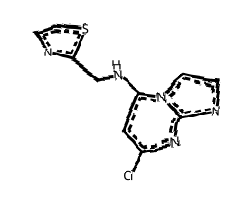 Clc1cc(NCc2nccs2)n2ccnc2n1